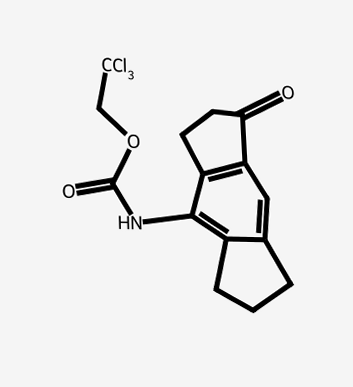 O=C(Nc1c2c(cc3c1CCC3=O)CCC2)OCC(Cl)(Cl)Cl